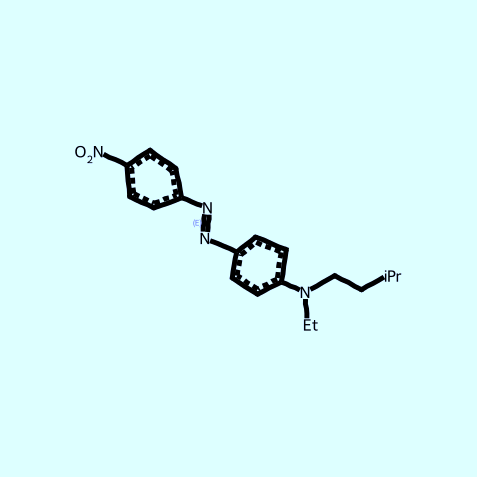 CCN(CCC(C)C)c1ccc(/N=N/c2ccc([N+](=O)[O-])cc2)cc1